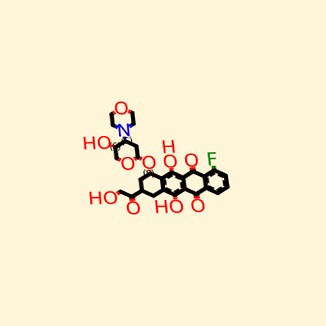 O=C1c2cccc(F)c2C(=O)c2c(O)c3c(c(O)c21)CC(C(=O)CO)C[C@@H]3OC1C[C@H](N2CCOCC2)[C@H](O)CO1